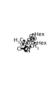 CC=S(=O)(OOP(=O)(OCCCCCC)OCCCCCC)c1c(Cl)cnn1C